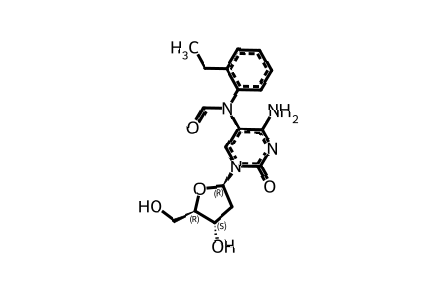 CCc1ccccc1N(C=O)c1cn([C@H]2C[C@H](O)[C@@H](CO)O2)c(=O)nc1N